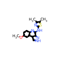 COc1ccc2nc(Nc3nc(C)c(C)s3)c3n[nH]cc3c2c1